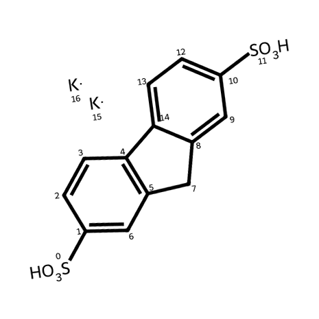 O=S(=O)(O)c1ccc2c(c1)Cc1cc(S(=O)(=O)O)ccc1-2.[K].[K]